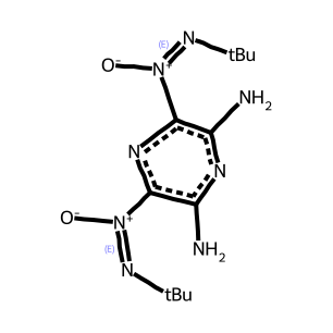 CC(C)(C)/N=[N+](/[O-])c1nc(/[N+]([O-])=N\C(C)(C)C)c(N)nc1N